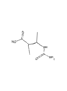 CC(NC(N)=O)C(C)C(=O)O